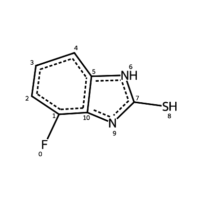 Fc1cccc2[nH]c(S)nc12